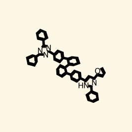 C1=C(c2ccc(-c3ccccc3-c3ccccc3-c3ccc(-c4nc(-c5ccccc5)nc(-c5ccccc5)n4)cc3)cc2)NC(c2ccccc2)N=C1c1ccco1